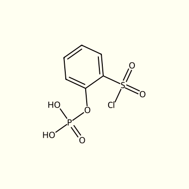 O=P(O)(O)Oc1ccccc1S(=O)(=O)Cl